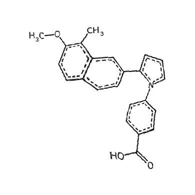 COc1ccc2ccc(-c3cccn3-c3ccc(C(=O)O)cc3)cc2c1C